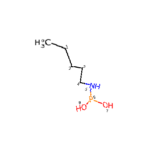 CCCCCNP(O)O